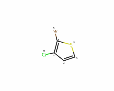 Clc1c[c]sc1Br